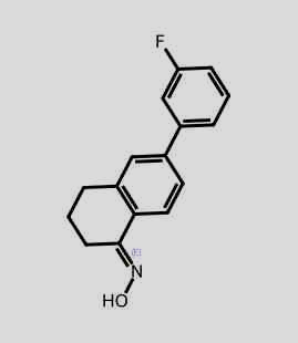 O/N=C1\CCCc2cc(-c3cccc(F)c3)ccc21